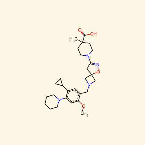 COc1cc(N2CCCCC2)c(C2CC2)cc1CN1CC2(CC(N3CCC(C)(C(=O)O)CC3)=NO2)C1